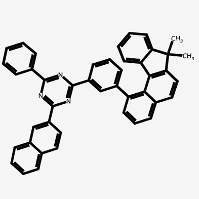 CC1(C)c2ccccc2-c2c1ccc1cccc(-c3cccc(-c4nc(-c5ccccc5)nc(-c5ccc6ccccc6c5)n4)c3)c21